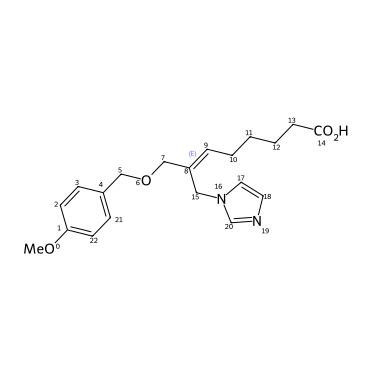 COc1ccc(COC/C(=C/CCCCC(=O)O)Cn2ccnc2)cc1